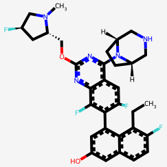 CCc1c(F)ccc2cc(O)cc(-c3c(F)cc4c(N5[C@@H]6CC[C@H]5CNC6)nc(OC[C@@H]5C[C@@H](F)CN5C)nc4c3F)c12